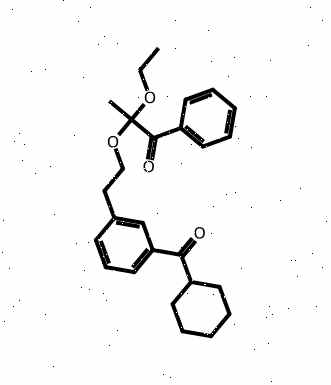 CCOC(C)(OCCc1cccc(C(=O)C2CCCCC2)c1)C(=O)c1ccccc1